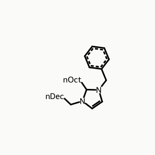 CCCCCCCCCCCN1C=CN(Cc2ccccc2)C1CCCCCCCC